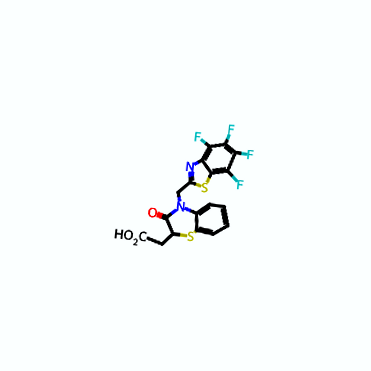 O=C(O)CC1Sc2ccccc2N(Cc2nc3c(F)c(F)c(F)c(F)c3s2)C1=O